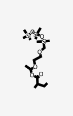 CCC(C)C(=O)OC(C)OCCOC[Si](C)(C)O[Si](C)(C)O[Si](C)(C)C